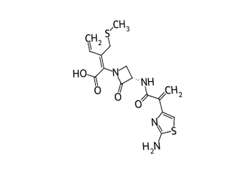 C=C/C(CSC)=C(\C(=O)O)N1C[C@H](NC(=O)C(=C)c2csc(N)n2)C1=O